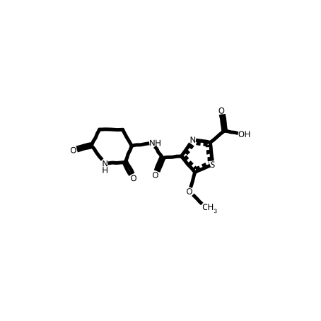 COc1sc(C(=O)O)nc1C(=O)NC1CCC(=O)NC1=O